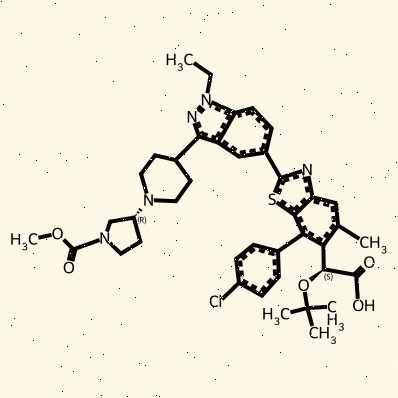 CCn1nc(C2CCN([C@@H]3CCN(C(=O)OC)C3)CC2)c2cc(-c3nc4cc(C)c([C@H](OC(C)(C)C)C(=O)O)c(-c5ccc(Cl)cc5)c4s3)ccc21